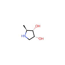 C[C@@H]1NC[C@@H](O)[C@H]1O